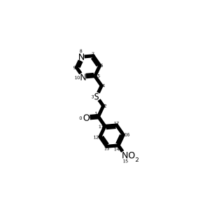 O=C(CSCc1ccncn1)c1ccc([N+](=O)[O-])cc1